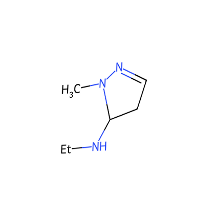 CCNC1CC=NN1C